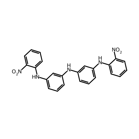 O=[N+]([O-])c1ccccc1Nc1cccc(Nc2cccc(Nc3ccccc3[N+](=O)[O-])c2)c1